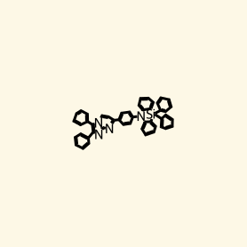 c1ccc(-c2nc3nc(-c4ccc(N5c6ccccc6[Si](c6ccccc6)(c6ccccc6)c6ccccc65)cc4)ccn3c2-c2ccccc2)cc1